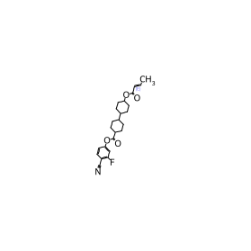 C/C=C/C(=O)OC1CCC(C2CCC(C(=O)Oc3ccc(C#N)c(F)c3)CC2)CC1